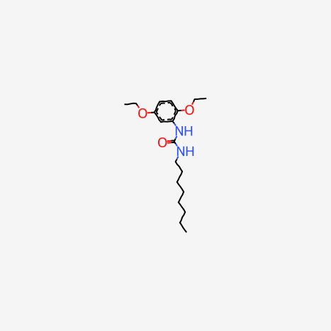 CCCCCCCCNC(=O)Nc1cc(OCC)ccc1OCC